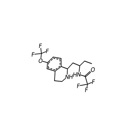 CCC(CC1NCCc2cc(OC(F)(F)F)ccc21)NC(=O)C(F)(F)F